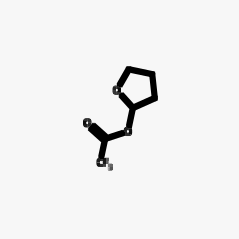 O=C(OC1CCCO1)C(F)(F)F